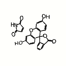 O=C1C=CC(=O)N1.O=C1OC2(c3ccc(O)cc3Oc3cc(O)ccc32)c2ccccc21